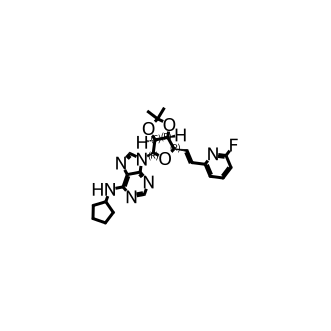 CC1(C)O[C@H]2[C@H](O1)[C@@H](C=Cc1cccc(F)n1)O[C@H]2n1cnc2c(NC3CCCC3)ncnc21